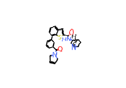 O=C(N[C@H]1CN2CCC1CC2)c1cc2cccc(-c3cccc(C(=O)N4CC=CC4)c3)c2s1